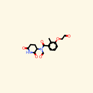 Cc1c(OCC=O)cccc1C(=O)N(C=O)C1CCC(=O)NC1=O